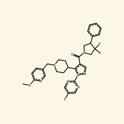 COc1ccc(CN2CCC(c3c(C(=O)N4CC(c5ccccc5)C(F)(F)C4)cnn3-c3ncc(F)cn3)CC2)cn1